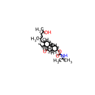 C=C(O)CC[C@@H](C)[C@H]1CC[C@H]2[C@@H]3C(=O)C[C@@H]4C[C@H](OC(=O)NC(C)C)CC[C@]4(C)[C@H]3CC[C@]12C